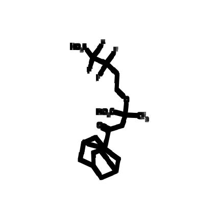 CCOC(=O)C(CC(=O)C12CC3CC(CC(C3)C1)C2)(OCCC(F)(F)C(F)(F)S(=O)(=O)O)C(F)(F)F